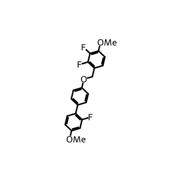 COc1ccc(-c2ccc(OCc3ccc(OC)c(F)c3F)cc2)c(F)c1